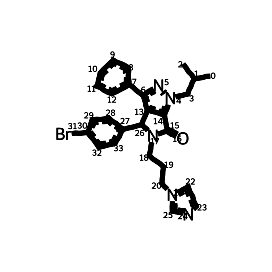 CC(C)Cn1nc(-c2ccccc2)c2c1C(=O)N(CCCn1ccnc1)C2c1ccc(Br)cc1